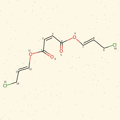 O=C(/C=C\C(=O)O/C=C/CCl)O/C=C/CCl